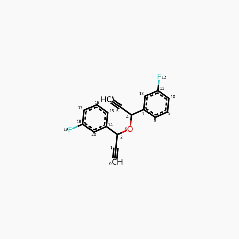 C#CC(OC(C#C)c1cccc(F)c1)c1cccc(F)c1